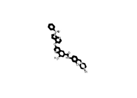 CCN1CCN(Cc2ccc(NC(=O)C3Cc4cc(Oc5ccnc6c5ccn6[S+]([O-])c5ccccc5)cnc4C(C)C3)cc2C(F)(F)F)CC1